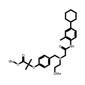 COCCN(CC(=O)Nc1ccc(C2CCCCC2)cc1C)Cc1ccc(OC(C)(C)C(=O)OC(C)(C)C)cc1